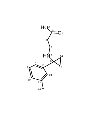 O=C(O)CCNC1(c2cc[c]c(F)c2)CC1